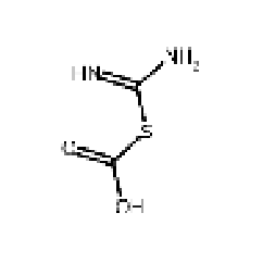 N=C(N)SC(=O)O